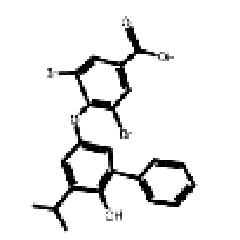 CC(C)c1cc(Oc2c(Br)cc(C(=O)O)cc2Br)cc(-c2ccccc2)c1O